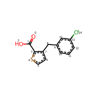 O=C(O)c1sccc1Cc1cccc(Cl)c1